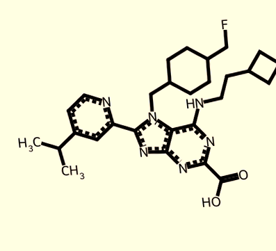 CC(C)c1ccnc(-c2nc3nc(C(=O)O)nc(NCCC4CCC4)c3n2CC2CCC(CF)CC2)c1